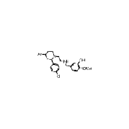 COc1ccc(CNCCN2CCC(C(C)=O)CC2c2ccc(Cl)cc2)cc1O